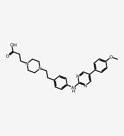 COc1ccc(-c2cnc([AsH]c3ccc(CCN4CCN(CCC(=O)O)CC4)cc3)nc2)cc1